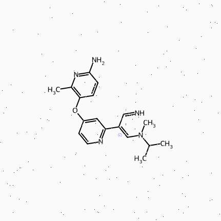 Cc1nc(N)ccc1Oc1ccnc(/C(C=N)=C/N(C)C(C)C)c1